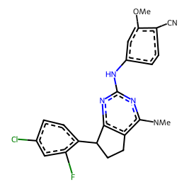 CNc1nc(Nc2ccc(C#N)c(OC)c2)nc2c1CCC2c1ccc(Cl)cc1F